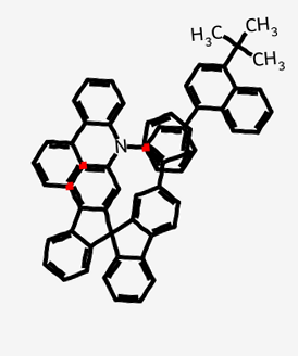 CC(C)(C)c1ccc(-c2cccc(N(c3ccc4c(c3)C3(c5ccccc5-c5ccc(-c6ccccc6)cc53)c3ccccc3-4)c3ccccc3-c3ccccc3)c2)c2ccccc12